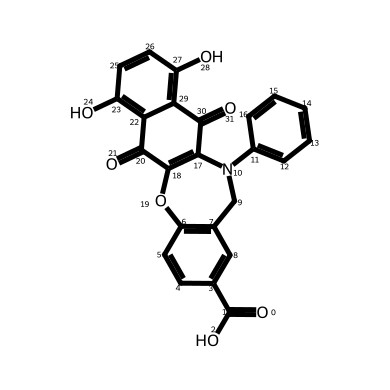 O=C(O)c1ccc2c(c1)CN(c1ccccc1)C1=C(O2)C(=O)c2c(O)ccc(O)c2C1=O